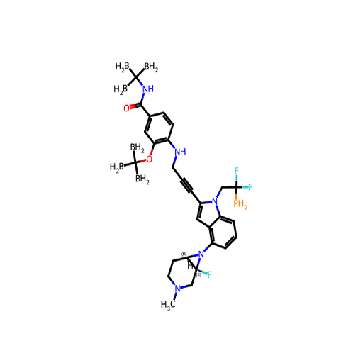 BC(B)(B)NC(=O)c1ccc(NCC#Cc2cc3c(N4[C@@H]5CCN(C)C[C@]54F)cccc3n2CC(F)(F)P)c(OC(B)(B)B)c1